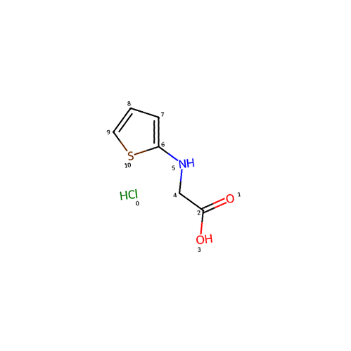 Cl.O=C(O)CNc1cccs1